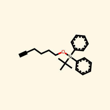 C#CCCCCO[Si](c1ccccc1)(c1ccccc1)C(C)(C)C